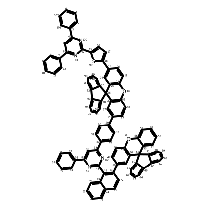 c1ccc(-c2cc(-c3ccccc3)nc(-c3ccc(-c4ccc5c(c4)C4(c6cc(-c7ccc(-c8cc(-c9ccccc9)nc(-c9c(-c%10ccc%11c(c%10)C%10(c%12ccccc%12O%11)c%11ccccc%11-c%11ccccc%11%10)ccc%10ccccc9%10)n8)cc7)ccc6O5)c5ccccc5-c5ccccc54)s3)n2)cc1